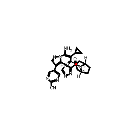 N#Cc1ncc(-c2cnn3c(N)c(C4CC4)c([C@@H]4C[C@H]5CC[C@@H](C4)N5C(=O)c4nnc[nH]4)nc23)cn1